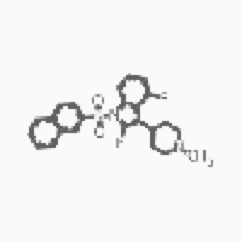 CN1CC=C(c2c(F)n(S(=O)(=O)c3ccc4ccccc4c3)c3cccc(F)c23)CC1